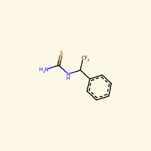 NC(=S)NC(c1ccccc1)C(F)(F)F